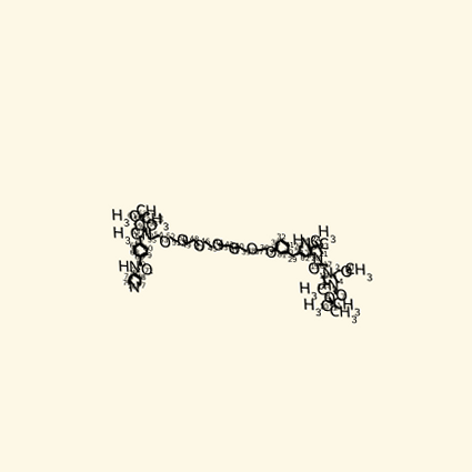 COC[C@H]1CN(C(=O)OC(C)(C)C)[C@H](C)CN1CC(=O)N1CC(C)(C)c2ncc(Cc3cccc(OCCOCCOCCOCCOCCOCCOCCN(C(=O)OC(C)(C)C)[C@@H](C)c4ccc(C(=O)Nc5ccncc5)cc4)c3)cc21